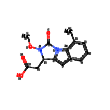 CON1C(=O)n2c(cc3cccc(C)c32)C1CC(=O)O